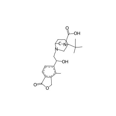 Cc1c(C(O)CN2CC3(C(C)(C)C)CCC2CN3C(=O)O)ccc2c1COC2=O